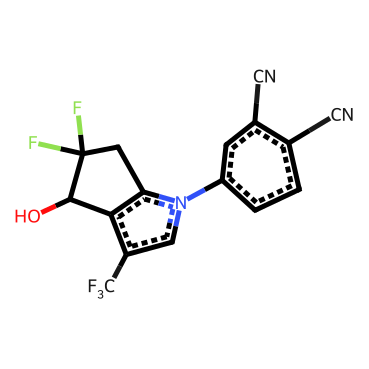 N#Cc1ccc(-n2cc(C(F)(F)F)c3c2CC(F)(F)C3O)cc1C#N